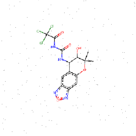 CC1(C)Oc2cc3nonc3cc2C(NC(=O)NC(=O)C(Cl)(Cl)Cl)C1O